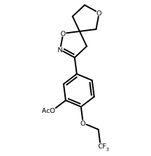 CC(=O)Oc1cc(C2=NOC3(CCOC3)C2)ccc1OCC(F)(F)F